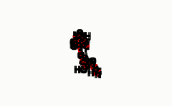 Cc1ncsc1-c1ccc([C@]2(C)NC(C3C[C@@H](O)CN3C(=O)C(c3cc(OCCCCCNC(=O)c4c(CS(C)(=O)=O)cc5cn(C)c6c5c4C4=CN(c5ncc(F)cc5F)CC=C4NC6=O)no3)C(C)C)=NC2=O)cc1